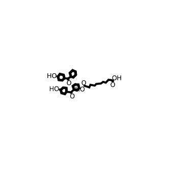 O=C(O)CCCCCCCCC(=O)O.O=C(c1ccccc1)c1ccc(O)cc1.O=C(c1ccccc1)c1ccc(O)cc1